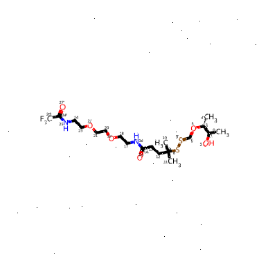 CC(O)[C@@H](C)OCSSC(C)(C)CCC(=O)NCCOCCOCCNC(=O)C(F)(F)F